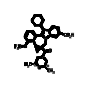 C[C@@H]1CN(C(=O)C23CC2c2c(OC(F)(F)F)cccc2-c2c(C4CCCCC4)c4ccc(C(=O)O)cc4n2C3)C[C@H](C)O1